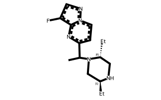 CC[C@H]1CN(C(C)c2ccn3ncc(F)c3n2)[C@H](CC)CN1